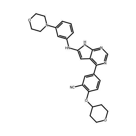 N#Cc1cc(-c2ncnc3[nH]c(Nc4cccc(N5CCOCC5)c4)cc23)ccc1OC1CCOCC1